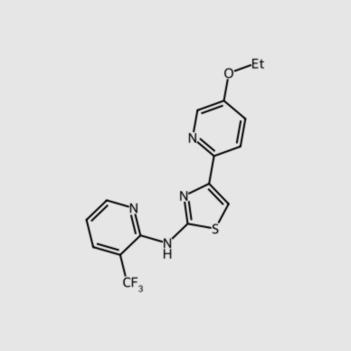 CCOc1ccc(-c2csc(Nc3ncccc3C(F)(F)F)n2)nc1